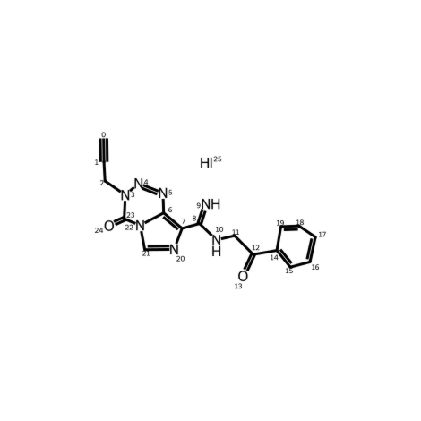 C#CCn1nnc2c(C(=N)NCC(=O)c3ccccc3)ncn2c1=O.I